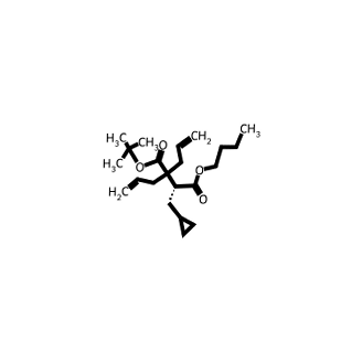 C=CCC(CC=C)(C(=O)OC(C)(C)C)[C@@H](CC1CC1)C(=O)OCCCC